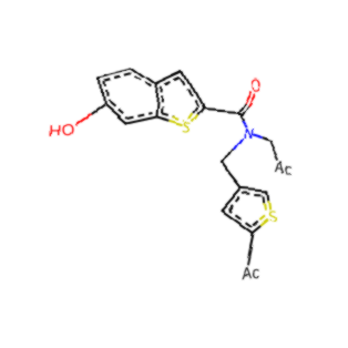 CC(=O)CN(Cc1csc(C(C)=O)c1)C(=O)c1cc2ccc(O)cc2s1